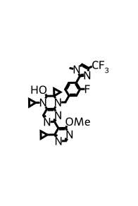 COc1ncnc(C2CC2)c1-c1ncc2c(n1)N(Cc1ccc(-c3nc(C(F)(F)F)cn3C)c(F)c1)C1(CC1)C(O)N2C1CC1